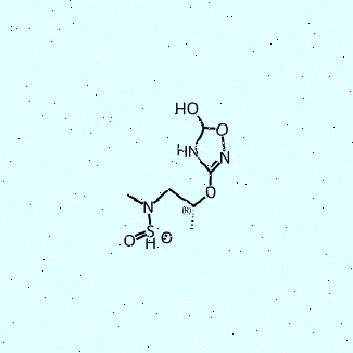 C[C@H](CN(C)[SH](=O)=O)OC1=NOC(O)N1